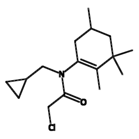 CC1=C(N(CC2CC2)C(=O)CCl)CC(C)CC1(C)C